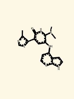 Cc1ncsc1-c1cc(Nc2ccnc3[nH]ccc23)c(N(C)C)[nH]c1=O